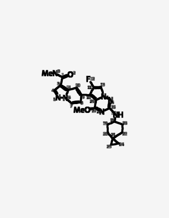 CNC(=O)c1cnn2ccc(-c3c(F)cn4nc(NC5CCC6(CC5)CC6)nc(OC)c34)cc12